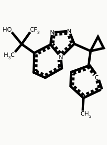 Cc1ccc(C2(c3nnc4c(C(C)(O)C(F)(F)F)cccn34)CC2)cc1